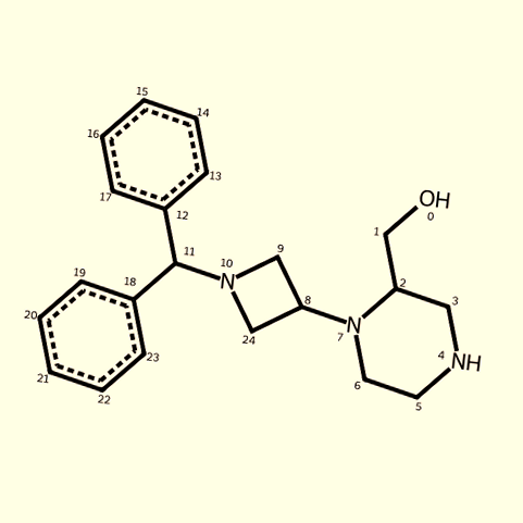 OCC1CNCCN1C1CN(C(c2ccccc2)c2ccccc2)C1